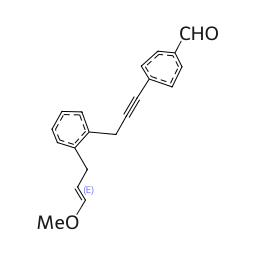 CO/C=C/Cc1ccccc1CC#Cc1ccc(C=O)cc1